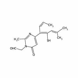 C/C=C\C(=C(\S)C=C(C)C)c1cc(=O)n(CC=O)c(C)n1